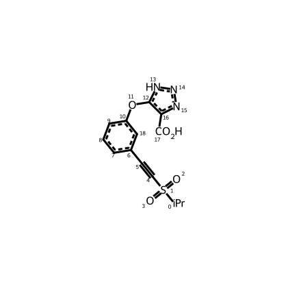 CC(C)S(=O)(=O)C#Cc1cccc(Oc2[nH]nnc2C(=O)O)c1